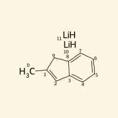 CC1=Cc2ccccc2C1.[LiH].[LiH]